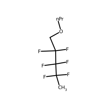 CCCOCC(F)(F)C(F)(F)C(C)(F)F